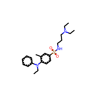 CCN(CC)CCCNS(=O)(=O)c1ccc(N(CC)c2ccccc2)c(C)c1